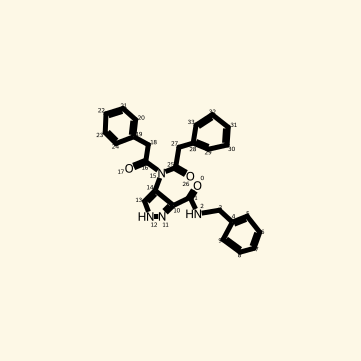 O=C(NCc1ccccc1)c1n[nH]cc1N(C(=O)Cc1ccccc1)C(=O)Cc1ccccc1